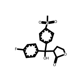 CS(=O)(=O)c1ccc(C(O)(c2ccc(F)cc2)C2CCOC2=O)cc1